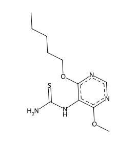 CCCCCOc1ncnc(OC)c1NC(N)=S